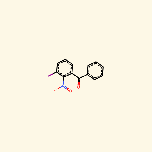 O=C(c1ccccc1)c1cccc(I)c1[N+](=O)[O-]